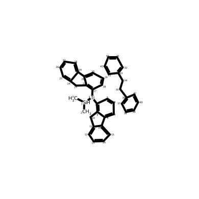 C[SiH](C)[Ti]([c]1cccc2c1Cc1ccccc1-2)[c]1cccc2c1Cc1ccccc1-2.c1ccc(CCc2ccccc2)cc1